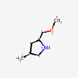 COC[C@@H]1C[C@H](C)CN1